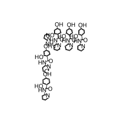 Nc1ccccn1.O=C(Nc1ccccn1)c1ccc(O)cc1O.O=C(Nc1ccccn1)c1ccc(O)cc1O.O=C(Nc1ccccn1)c1ccc(O)cc1O.O=C(Nc1ccccn1)c1ccc(O)cc1O.O=C(Nc1ccccn1)c1ccc(O)cc1O